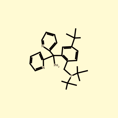 CC(C)(C)c1ccc(CP(C(C)(C)C)C(C)(C)C)c(C(P)(c2ccccn2)c2ccccn2)c1